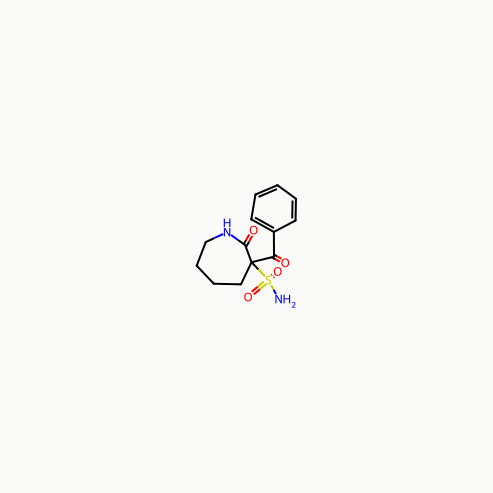 NS(=O)(=O)C1(C(=O)c2ccccc2)CCCCNC1=O